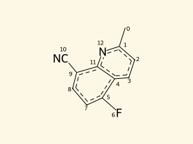 Cc1ccc2c(F)ccc(C#N)c2n1